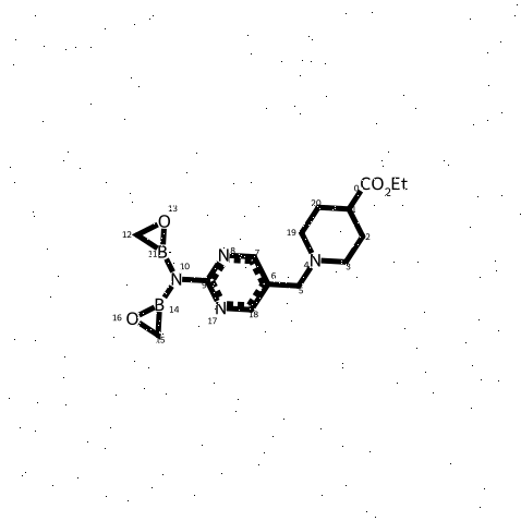 CCOC(=O)C1CCN(Cc2cnc(N(B3CO3)B3CO3)nc2)CC1